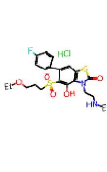 CCNCCn1c(=O)sc2cc(-c3ccc(F)cc3)c(S(=O)(=O)CCCOCC)c(O)c21.Cl